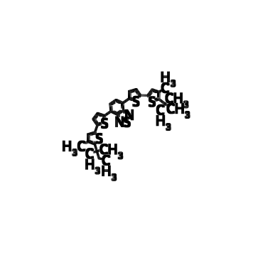 CCC(C)(C)c1sc(-c2ccc(-c3ccc(-c4ccc(-c5cc(C)c(C(C)(C)C)s5)s4)c4nsnc34)s2)cc1C